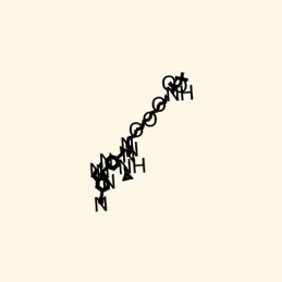 CC(C)(C)OC(=O)NCCOCCOCCOCCn1cc(-c2cnc(-n3ncc4cc(C#N)cnc43)cc2NC2CC2)nn1